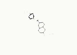 CCCCCCC1CCC2CC(C(=O)Oc3ccc(C)cc3)CCC2C1